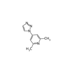 Cc1cc(-n2ccnn2)cc(C)n1